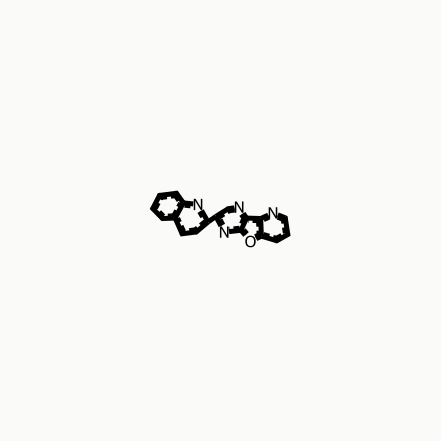 c1ccc2nc(-c3cnc4c(n3)oc3cccnc34)ccc2c1